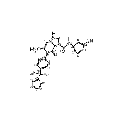 CC1=CN2NCC(C(=O)Nc3cccc(C#N)c3)C2C(=O)N1c1ncc(C(F)(F)c2ccccc2)cn1